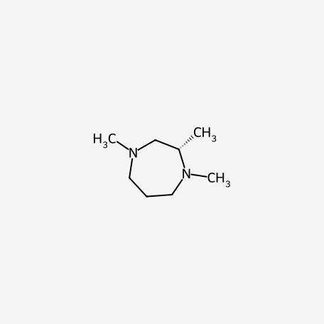 C[C@H]1CN(C)CCCN1C